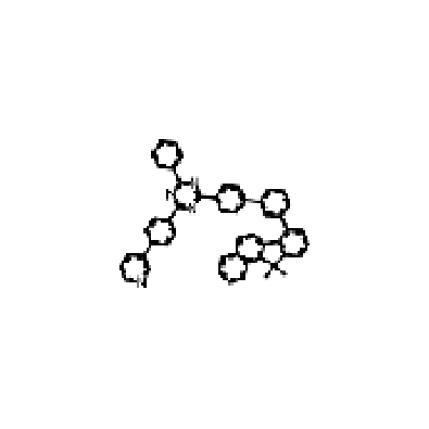 CC1(C)c2cccc(-c3cccc(-c4ccc(-c5nc(-c6ccccc6)nc(-c6ccc(-c7cccnc7)cc6)n5)cc4)c3)c2-c2ccc3ccccc3c21